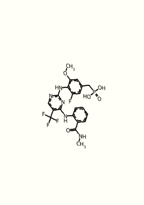 CNC(=O)c1ccccc1Nc1nc(Nc2c(F)cc(CP(=O)(O)O)cc2OC)ncc1C(F)(F)F